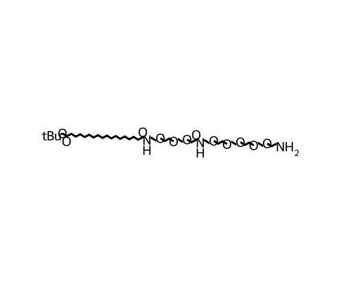 CC(C)(C)OC(=O)CCCCCCCCCCCCCCCCC(=O)NCCOCCOCCOCC(=O)NCCOCCOCCOCCOCCOCCN